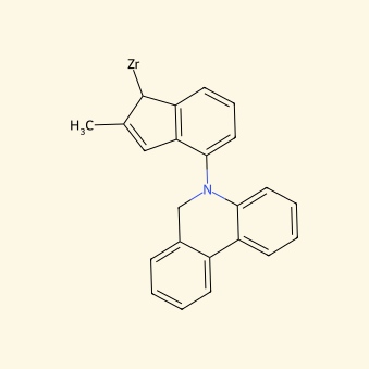 CC1=Cc2c(cccc2N2Cc3ccccc3-c3ccccc32)[CH]1[Zr]